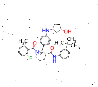 Cc1cccc(F)c1C(=O)N1CCCC(C(=O)Nc2cccc(C(C)(C)C)c2)[C@@H]1c1c#cc(NC2CCC(O)C2)cc1